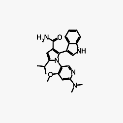 COc1cc(N(C)C)ncc1-n1c(C(C)C)cc(C(N)=O)c1-c1c[nH]c2ccccc12